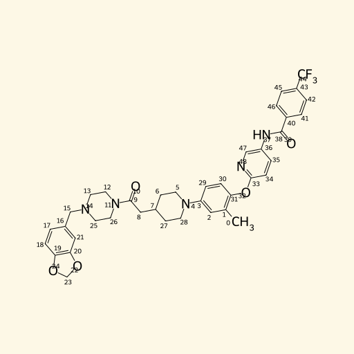 Cc1cc(N2CCC(CC(=O)N3CCN(Cc4ccc5c(c4)OCO5)CC3)CC2)ccc1Oc1ccc(NC(=O)c2ccc(C(F)(F)F)cc2)cn1